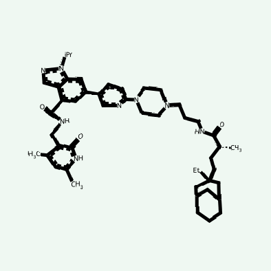 CCC1(CC[C@@H](C)C(=O)NCCCN2CCN(c3ccc(-c4cc(C(=O)NCc5c(C)cc(C)[nH]c5=O)c5cnn(C(C)C)c5c4)cn3)CC2)CC2CCCC(C2)C1